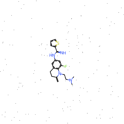 C=C1CCc2cc(NC(=N)c3cccs3)cc(F)c2N1CCN(C)C